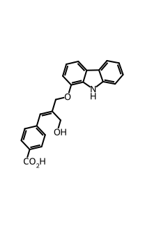 O=C(O)c1ccc(C=C(CO)COc2cccc3c2[nH]c2ccccc23)cc1